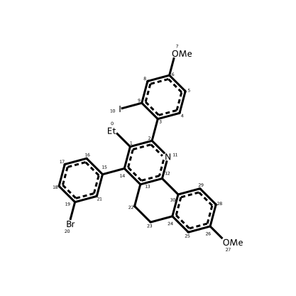 CCc1c(-c2ccc(OC)cc2I)nc2c(c1-c1cccc(Br)c1)CCc1cc(OC)ccc1-2